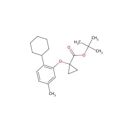 Cc1ccc(C2CCCCC2)c(OC2(C(=O)OC(C)(C)C)CC2)c1